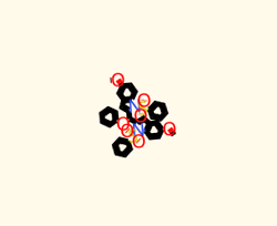 COc1ccc2c(c1)cc(C(Oc1ccccc1)c1cc3cc(OC)ccc3n1S(=O)(=O)c1ccccc1)n2S(=O)(=O)c1ccccc1